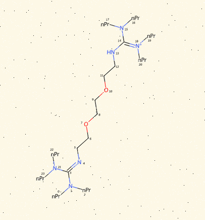 CCCN(CCC)C(=NCCOCCOCCNC(N(CCC)CCC)=[N+](CCC)CCC)N(CCC)CCC